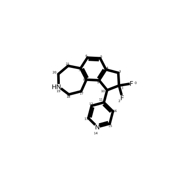 FC1(F)Cc2ccc3c(c2C1c1ccncc1)CCNCC3